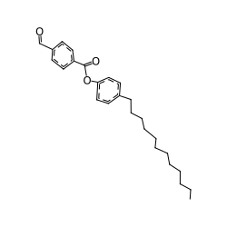 CCCCCCCCCCCCc1ccc(OC(=O)c2ccc(C=O)cc2)cc1